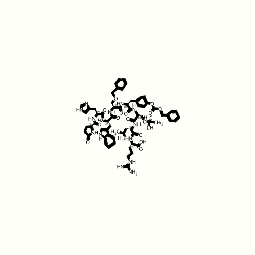 CC(C)C[C@H](NC(=O)[C@@H](COC(C)(C)C)NC(=O)[C@H](Cc1ccc(OC(=O)OCc2ccccc2)cc1)NC(=O)[C@H](COCc1ccccc1)NC(=O)[C@H](Cc1c[nH]c2ccccc12)NC(=O)[C@H](Cc1c[nH]cn1)NC(=O)[C@@H]1CCC(=O)N1)C(=O)N[C@@H](CCCNC(=N)N)C(=O)O